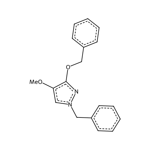 COc1cn(Cc2ccccc2)nc1OCc1ccccc1